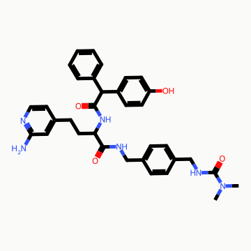 CN(C)C(=O)NCc1ccc(CNC(=O)C(CCc2ccnc(N)c2)NC(=O)C(c2ccccc2)c2ccc(O)cc2)cc1